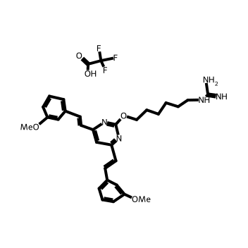 COc1cccc(C=Cc2cc(C=Cc3cccc(OC)c3)nc(OCCCCCCNC(=N)N)n2)c1.O=C(O)C(F)(F)F